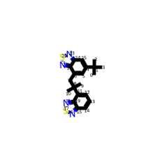 CC(C)(C)c1cc(CC(C)(C)c2cccc3nsnc23)c2nsnc2c1